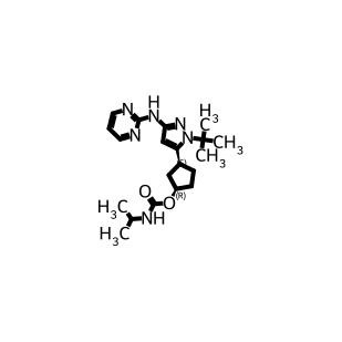 CC(C)NC(=O)O[C@@H]1CC[C@H](c2cc(Nc3ncccn3)nn2C(C)(C)C)C1